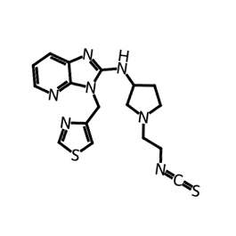 S=C=NCCN1CCC(Nc2nc3cccnc3n2Cc2cscn2)C1